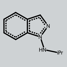 CC(C)Nn1ncc2ccccc21